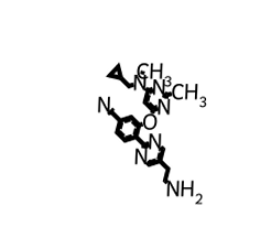 Cc1nc(Oc2cc(C#N)ccc2-c2ncc(CCN)cn2)cc(N(C)CC2CC2)n1